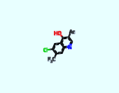 CC(=O)c1cnc2cc(C(F)(F)F)c(Cl)cc2c1O